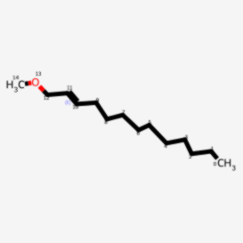 CCCCCCCCCC/C=C/COC